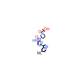 CC(C)(O)C(=O)N1CCCC(n2c(=O)[nH]c3cnc(-c4cnn5ccc(C#N)cc45)nc32)C1